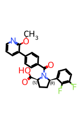 COc1ncccc1-c1ccc(C(=O)N2[C@@H](c3cccc(F)c3F)CC[C@H]2C(=O)O)cc1